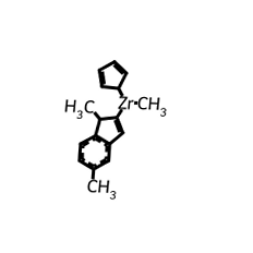 Cc1ccc2c(c1)C=[C]([Zr]([CH3])[CH]1C=CC=C1)C2C